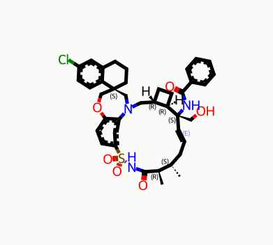 C[C@H]1C/C=C/[C@@](CO)(NC(=O)c2ccccc2)[C@@H]2CC[C@H]2CN2C[C@@]3(CCCc4cc(Cl)ccc43)COc3ccc(cc32)S(=O)(=O)NC(=O)[C@@H]1C